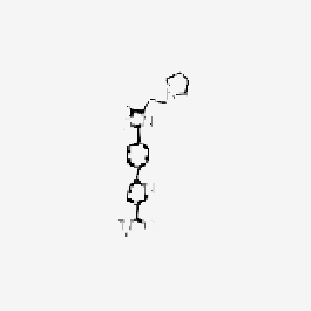 Cc1oc(-c2ccc(-c3ccc(C(=O)N(C)C)cn3)cc2)nc1CCN1CCC[C@H]1C